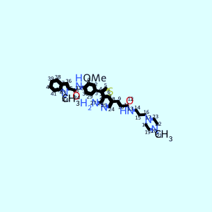 COc1cc(-c2csc3c(C=CC(=O)NCCCN4CCN(C)CC4)cnc(N)c23)ccc1NC(=O)c1cc2ccccc2n1C